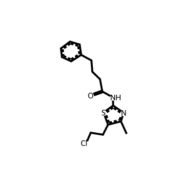 Cc1nc(NC(=O)CCCc2ccccc2)sc1CCCl